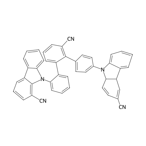 N#CC1=CC2c3ccccc3N(c3ccc(-c4c(C#N)cccc4-c4ccccc4-n4c5ccccc5c5cccc(C#N)c54)cc3)C2C=C1